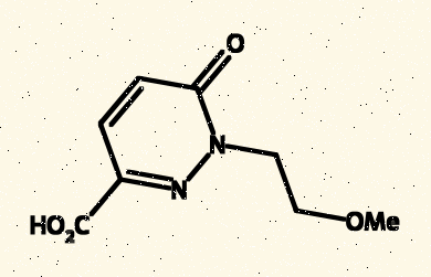 COCCn1nc(C(=O)O)ccc1=O